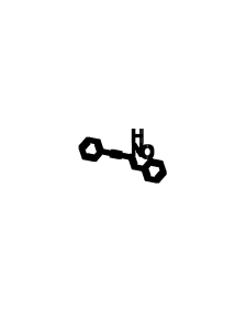 C(#Cc1ccccc1)C1=Cc2ccccc2ON1